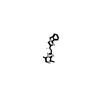 Cc1ncc(C)n2nc(C[C@H](C)c3cn4c(n3)-c3ccccc3C4)nc12